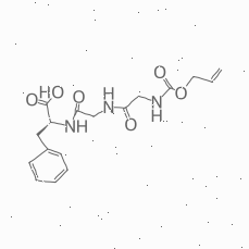 C=CCOC(=O)NCC(=O)NCC(=O)N[C@@H](Cc1ccccc1)C(=O)O